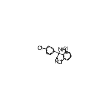 N#CC(N)(c1ccc(Cl)cc1)c1c(Cl)cccc1Cl